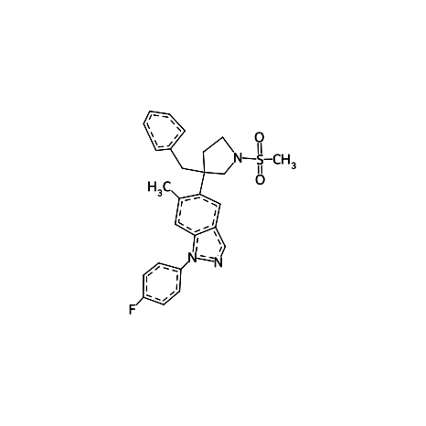 Cc1cc2c(cnn2-c2ccc(F)cc2)cc1C1(Cc2ccccc2)CCN(S(C)(=O)=O)C1